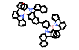 c1ccc(-c2cccc3c4ccccc4n(B4c5ccc(-c6ccc7cc8c9c(c7c6)c6c7ccccc7ccc6n9-c6ccccc6B8n6c7ccccc7c7cccc(-c8ccccc8)c76)cc5-n5c6ccc7ccccc7c6c6cccc4c65)c23)cc1